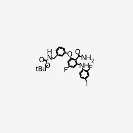 CC(C)(C)OC(=O)NCc1cccc(Oc2cc(F)cc(Nc3ccc(I)cc3F)c2C(N)=O)c1